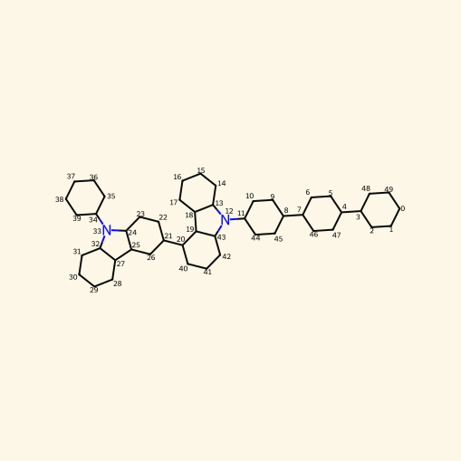 C1CCC(C2CCC(C3CCC(N4C5CCCCC5C5C(C6CCC7C(C6)C6CCCCC6N7C6CCCCC6)CCCC54)CC3)CC2)CC1